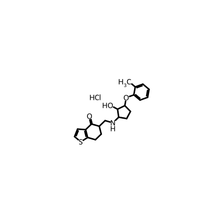 Cc1ccccc1OC1CCC(NCC2CCc3sccc3C2=O)C1O.Cl